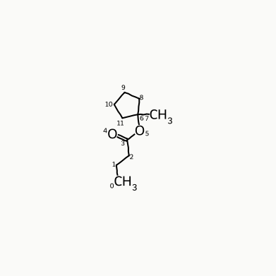 CCCC(=O)OC1(C)CCCC1